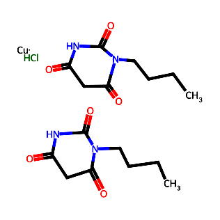 CCCCN1C(=O)CC(=O)NC1=O.CCCCN1C(=O)CC(=O)NC1=O.Cl.[Cu]